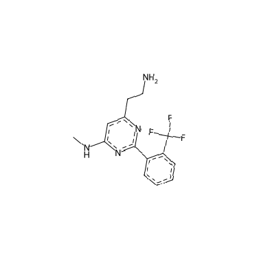 CNc1cc(CCN)nc(-c2ccccc2C(F)(F)F)n1